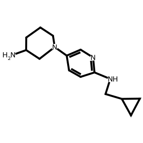 NC1CCCN(c2ccc(NCC3CC3)nc2)C1